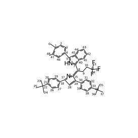 Cc1ccc(-c2[nH]c(/C(CCC(F)(F)F)=C3\N=C(c4ccc(C(C)(C)C)cc4)C=C3c3ccc(C(C)(C)C)cc3)c3ccccc23)cc1C